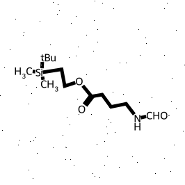 CC(C)(C)[Si](C)(C)CCOC(=O)CCCN[C]=O